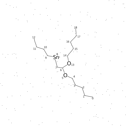 CCCCCOC([CH2][Sn][CH2]CCC)OCCCCC